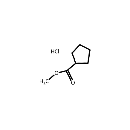 COC(=O)C1CCCC1.Cl